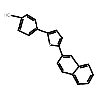 Oc1ccc(-c2ccc(-c3ccc4ccccc4c3)s2)cc1